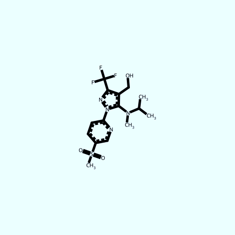 CC(C)N(C)c1c(CO)c(C(F)(F)F)nn1-c1ccc(S(C)(=O)=O)cn1